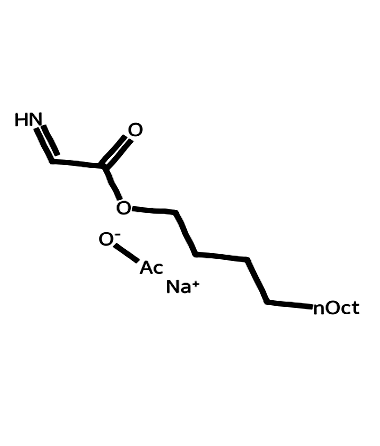 CC(=O)[O-].CCCCCCCCCCCCOC(=O)C=N.[Na+]